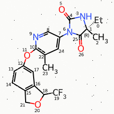 CC[C@@]1(C)NC(=O)N(c2cnc(Oc3ccc4c(c3)C(C(F)(F)F)OC4)c(C)c2)C1=O